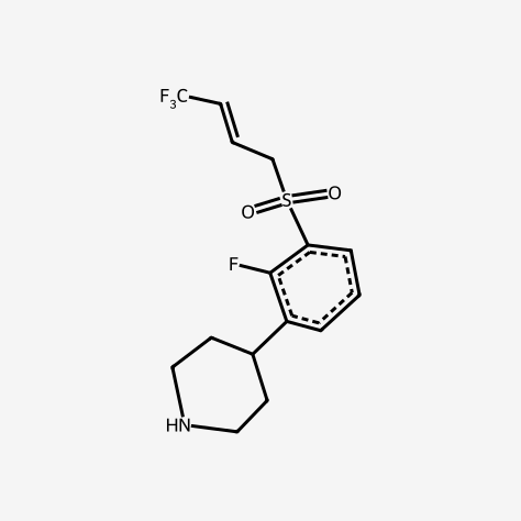 O=S(=O)(CC=CC(F)(F)F)c1cccc(C2CCNCC2)c1F